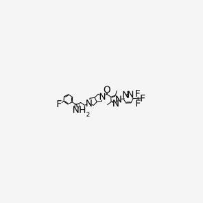 Cc1nn(-c2ccc(C(F)(F)F)nn2)c(C)c1C(=O)N1CC2CN(CC[C@H](N)c3cccc(F)c3)CC2C1